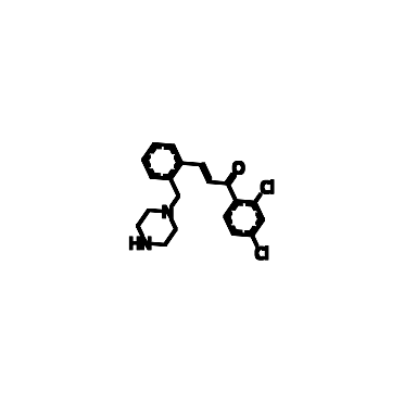 O=C(C=Cc1ccccc1CN1CCNCC1)c1ccc(Cl)cc1Cl